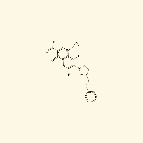 O=C(O)c1cn(C2CC2)c2c(F)c(N3CCC(CSc4ccccc4)C3)c(F)cc2c1=O